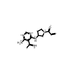 C=CC(=O)N1CCC(Nc2ncnc(N)c2C(C)=N)C1